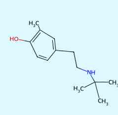 Cc1cc(CCNC(C)(C)C)ccc1O